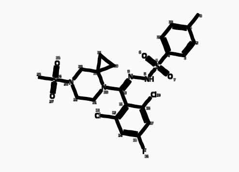 Cc1ccc(S(=O)(=O)N/N=C(\c2c(Cl)cc(F)cc2Cl)N2CCN(S(C)(=O)=O)CC23CC3)cc1